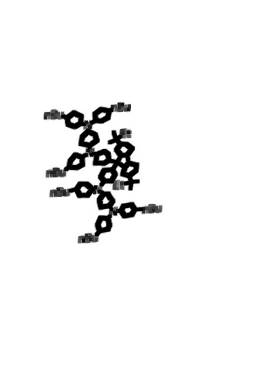 CCCCc1ccc(N(c2ccc(CCCC)cc2)c2ccc(N(c3ccc(CCCC)cc3)c3ccc(C4(c5ccc(N(c6ccc(CCCC)cc6)c6ccc(N(c7ccc(CCCC)cc7)c7ccc(CCCC)cc7)cc6)cc5)c5cc(C(C)(C)CC)ccc5-c5ccc(C(C)(C)CC)cc54)cc3)cc2)cc1